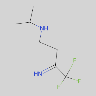 CC(C)NCCC(=N)C(F)(F)F